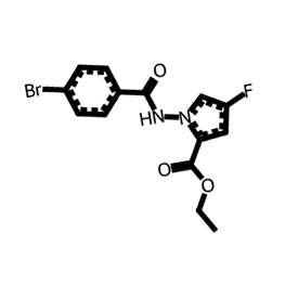 CCOC(=O)c1cc(F)cn1NC(=O)c1ccc(Br)cc1